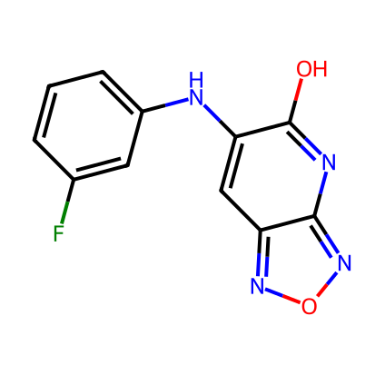 Oc1nc2nonc2cc1Nc1cccc(F)c1